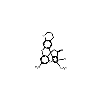 Nc1ccc2c(c1)Oc1cc3c(cc1C21OC(=O)c2c(Cl)c(C(=O)O)cc(Cl)c21)CCCN3